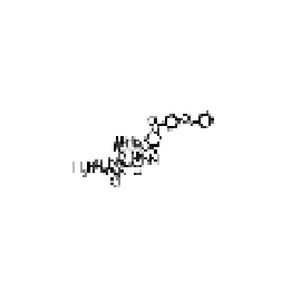 NN=Nc1nc(N=NN)c(C(=O)/N=C2\N=NCC3(CCN(C(=O)c4ccc(OCc5ccccc5)cc4)CC3)N2N)nc1Cl